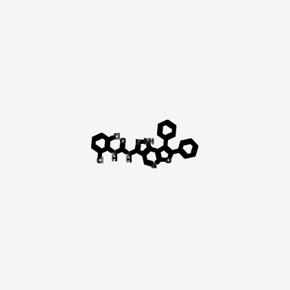 O=C(Nc1c(Cl)cccc1Cl)Nc1n[nH]c2c1cnc1oc(-c3ccccc3)c(-c3ccccc3)c12